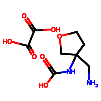 NCC1(NC(=O)O)CCOC1.O=C(O)C(=O)O